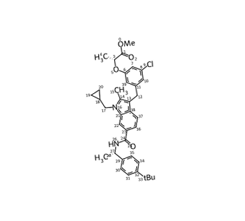 COC(=O)[C@@H](C)Oc1cc(Cl)cc(Cc2c(C)n(CC3CC3)c3cc(C(=O)N[C@@H](C)c4ccc(C(C)(C)C)cc4)ccc23)c1